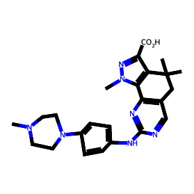 CN1CCN(c2ccc(Nc3ncc4c(n3)-c3c(c(C(=O)O)nn3C)C(C)(C)C4)cc2)CC1